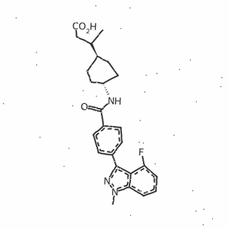 CC(CC(=O)O)[C@H]1CC[C@H](NC(=O)c2ccc(-c3nn(C)c4cccc(F)c34)cc2)CC1